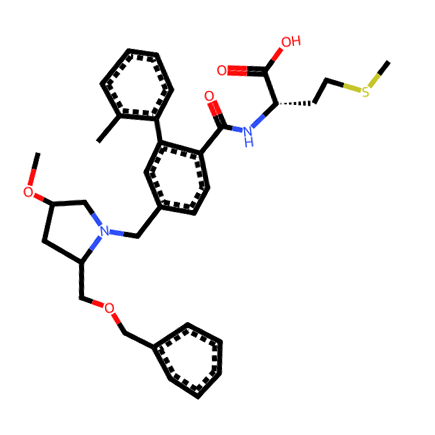 COC1CC(COCc2ccccc2)N(Cc2ccc(C(=O)N[C@@H](CCSC)C(=O)O)c(-c3ccccc3C)c2)C1